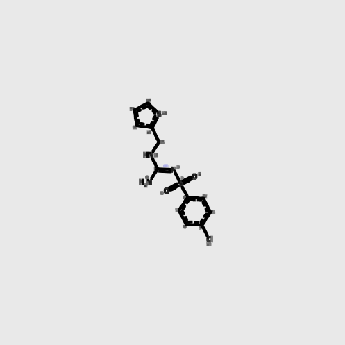 N/C(=N\S(=O)(=O)c1ccc(Cl)cc1)NCc1cccs1